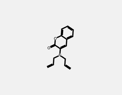 C=CCN(CC=C)c1cc2ccccc2oc1=O